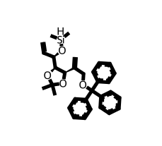 C=C[C@@H](O[SiH](C)C)[C@@H]1OC(C)(C)O[C@@H]1C(=C)COC(c1ccccc1)(c1ccccc1)c1ccccc1